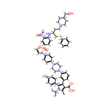 Cc1c(C(=O)O)c(-c2cccc(N3CCN(c4ccc(N5C=CO[P@@]5(=O)c5ccc(NC(CCN6CCC(CO)CC6)CSc6ccccc6)c([N+](=O)[O-])c5)cc4)CC3)c2)c(-c2ccc(Cl)cc2)n1C(C)C